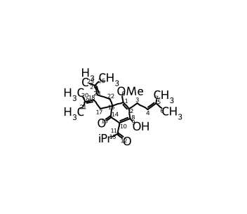 COC1=C(CC=C(C)C)C(O)=C(C(=O)C(C)C)C(=O)C1(CC=C(C)C)CC=C(C)C